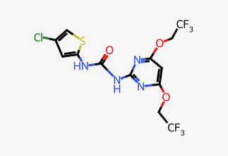 O=C(Nc1nc(OCC(F)(F)F)cc(OCC(F)(F)F)n1)Nc1cc(Cl)cs1